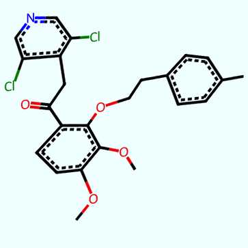 COc1ccc(C(=O)Cc2c(Cl)cncc2Cl)c(OCCc2ccc(C)cc2)c1OC